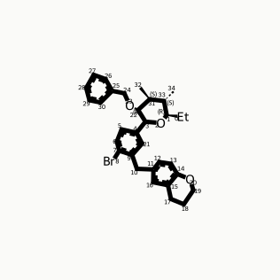 CC[C@H]1OC(c2ccc(Br)c(Cc3ccc4c(c3)CCCO4)c2)[C@H](OCc2ccccc2)[C@@H](C)[C@@H]1C